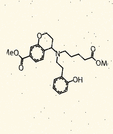 COC(=O)CCCCN(CCc1ccccc1O)C1CCOc2cc(C(=O)OC)ccc21